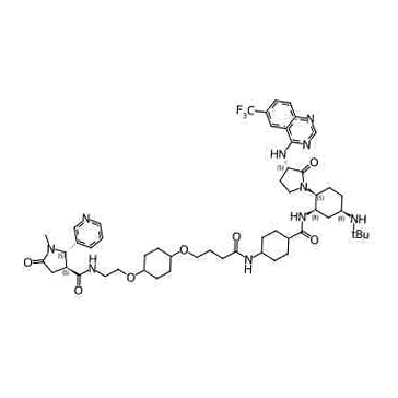 CN1C(=O)C[C@H](C(=O)NCCOC2CCC(OCCCC(=O)NC3CCC(C(=O)N[C@@H]4C[C@H](NC(C)(C)C)CC[C@@H]4N4CC[C@H](Nc5ncnc6ccc(C(F)(F)F)cc56)C4=O)CC3)CC2)[C@H]1c1cccnc1